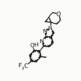 Cc1cc(C(F)(F)F)cc(O)c1-c1ccc2cn(C34CCOCC3C4)nc2n1